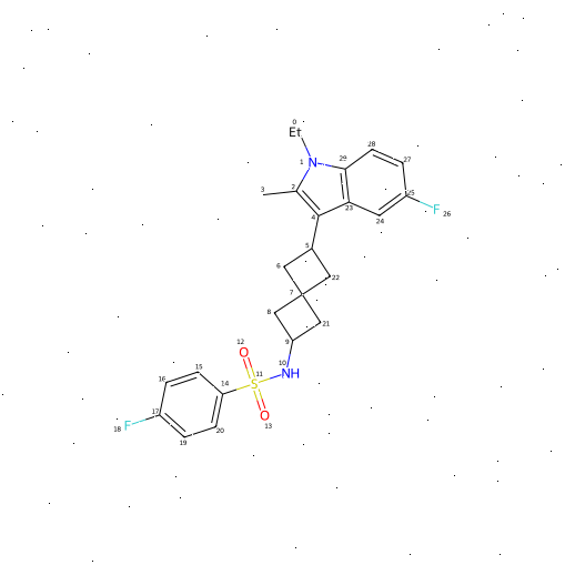 CCn1c(C)c(C2CC3(CC(NS(=O)(=O)c4ccc(F)cc4)C3)C2)c2cc(F)ccc21